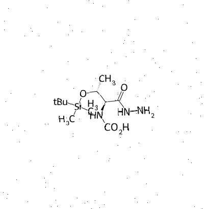 C[C@@H](O[Si](C)(C)C(C)(C)C)[C@H](NC(=O)O)C(=O)NN